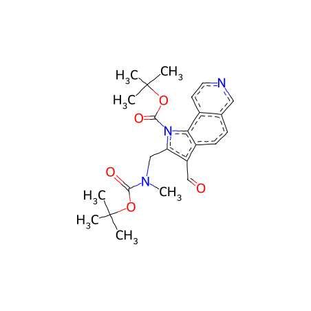 CN(Cc1c(C=O)c2ccc3cnccc3c2n1C(=O)OC(C)(C)C)C(=O)OC(C)(C)C